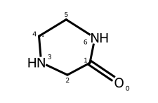 O=C1CN[CH]CN1